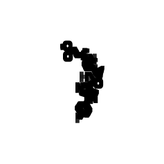 C=S(CCC(=O)OC)c1ccc(C2(NC(=O)c3cncc4c3cnn4-c3ccc(F)cc3)CC2)cn1